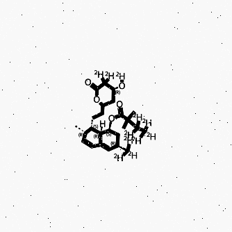 [2H]O[C@@H]1CC(CC[C@@H]2[C@@H]3C(=C[C@H](C([2H])([2H])[2H])C[C@@H]3OC(=O)C(C)(C)C([2H])([2H])C([2H])([2H])[2H])C=C[C@@H]2C)OC(=O)C1([2H])[2H]